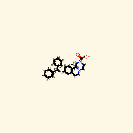 O=C(O)N1CCN2CCc3cc(N=C(c4ccccc4)c4ccccc4)ccc3[C@@H]2C1